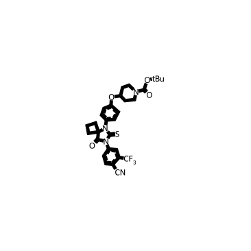 CC(C)(C)OC(=O)N1CCC(Oc2ccc(N3C(=S)N(c4ccc(C#N)c(C(F)(F)F)c4)C(=O)C34CCC4)cc2)CC1